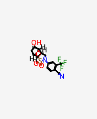 N#Cc1ccc(N2C[C@H]3[C@@H]4O[C@@H](C[C@H]4O)[C@H]3S2(=O)=O)cc1C(F)(F)F